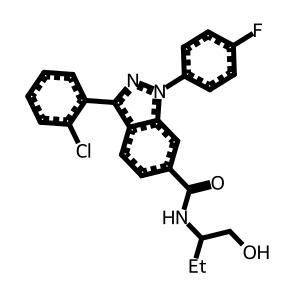 CCC(CO)NC(=O)c1ccc2c(-c3ccccc3Cl)nn(-c3ccc(F)cc3)c2c1